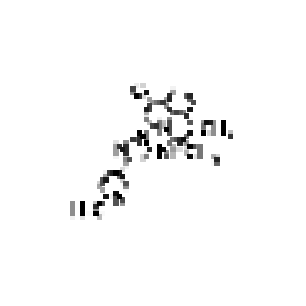 Cc1ccc(-c2cc(NC[C@@H](C)C(C)c3cccc4c(Cl)ccnc34)ncn2)cn1